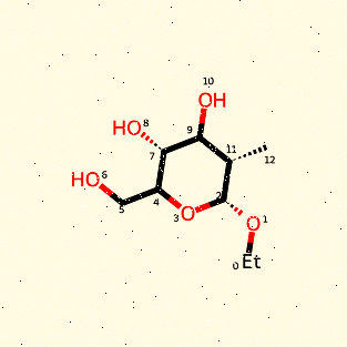 CCO[C@@H]1OC(CO)[C@H](O)C(O)[C@@H]1C